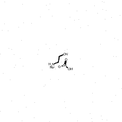 NCCO.O=[Se]([O-])O.[Na+]